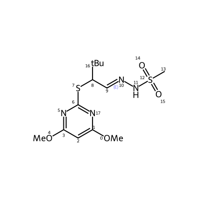 COc1cc(OC)nc(SC(/C=N/NS(C)(=O)=O)C(C)(C)C)n1